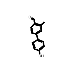 Cc1cc(-c2ccc(O)cc2)ccc1C=O